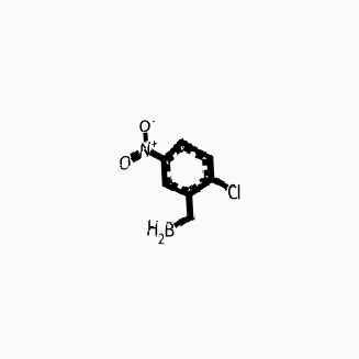 BCc1cc([N+](=O)[O-])ccc1Cl